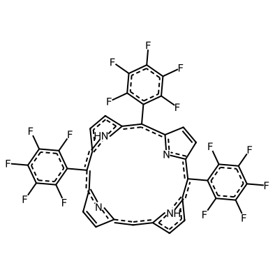 Fc1c(F)c(F)c(-c2c3nc(c(-c4c(F)c(F)c(F)c(F)c4F)c4ccc([nH]4)c(-c4c(F)c(F)c(F)c(F)c4F)c4nc(cc5ccc2[nH]5)C=C4)C=C3)c(F)c1F